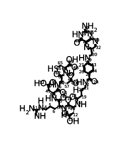 N=C(N)NCCC[C@H](NC(=O)[C@@H](CC(=O)O)NC(=O)CCCNC(=O)c1ccc(NCc2cnc3nc(N)[nH]c(=O)c3n2)cc1)C(=O)N[C@@H](CC(=O)O)C(=O)N[C@@H](CC(=O)O)C(=O)N[C@@H](CS)C(=O)O